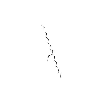 CCCCCCCCCCC(CF)CCCCCCCC